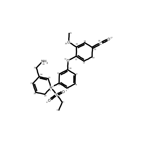 CCS(=O)(=O)[N+]1(c2cccc(OC3=CCC(=C=O)C=C3OC)c2)C=C(CN)C=CC1